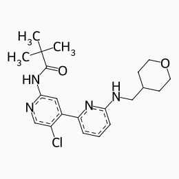 CC(C)(C)C(=O)Nc1cc(-c2cccc(NCC3CCOCC3)n2)c(Cl)cn1